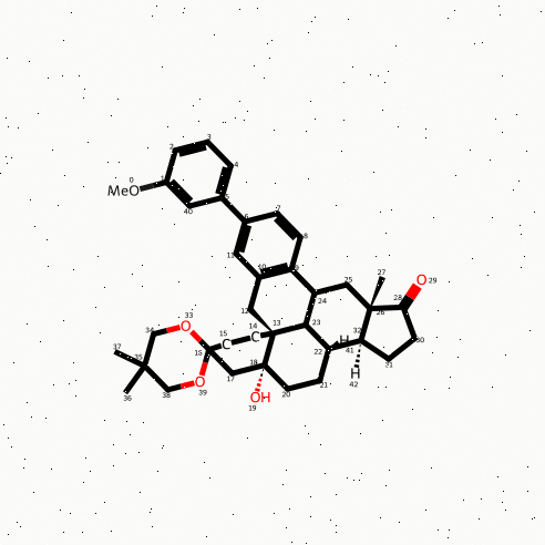 COc1cccc(-c2ccc3c(c2)C[C@]24CCC5(C[C@]2(O)CC[C@@H]2C4C3C[C@]3(C)C(=O)CC[C@@H]23)OCC(C)(C)CO5)c1